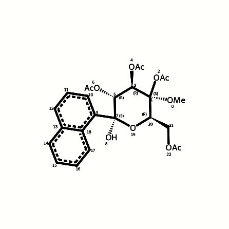 CO[C@@]1(OC(C)=O)[C@H](OC(C)=O)[C@@H](OC(C)=O)[C@](O)(c2cccc3ccccc23)O[C@@H]1COC(C)=O